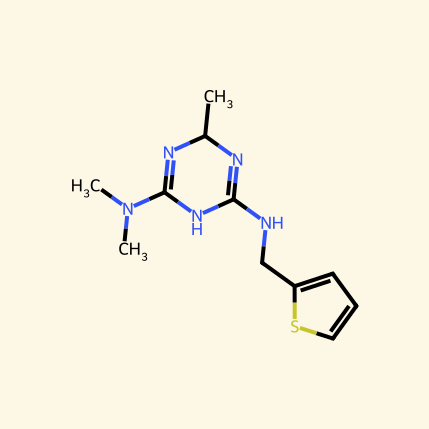 CC1N=C(NCc2cccs2)NC(N(C)C)=N1